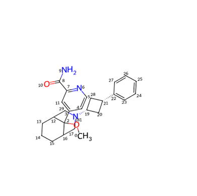 COC1(c2ccnc(C(N)=O)c2)C2CCCC1CN([C@H]1C[C@@H](c3ccccc3)C1)C2